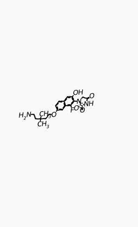 CC(C)(CCN)CCOc1ccc2cc(O)c(N3CC(=O)NS3(=O)=O)c(F)c2c1